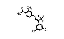 Cc1cc(CC=C(c2cc(Cl)cc(Cl)c2)C(F)(F)F)ccc1C(=O)O